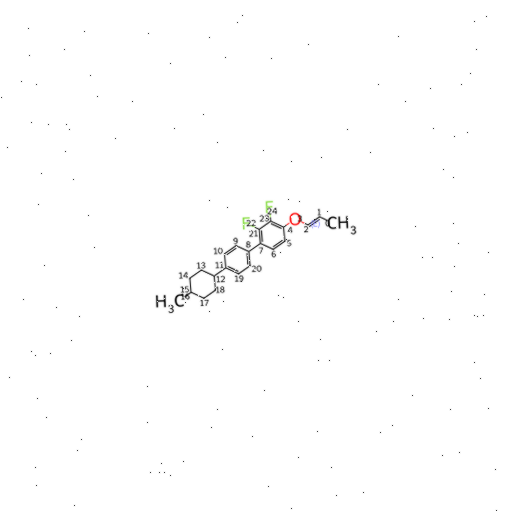 C/C=C/Oc1ccc(-c2ccc(C3CCC(C)CC3)cc2)c(F)c1F